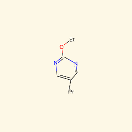 CCOc1ncc(C(C)C)cn1